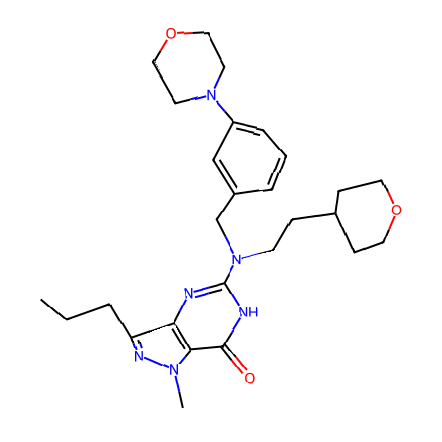 CCCc1nn(C)c2c(=O)[nH]c(N(CCC3CCOCC3)Cc3cccc(N4CCOCC4)c3)nc12